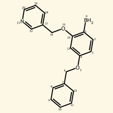 Bc1ccc(OCc2ccccc2)cc1OCc1cccnc1